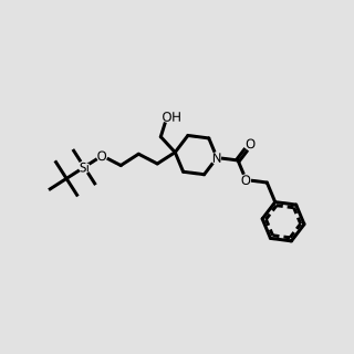 CC(C)(C)[Si](C)(C)OCCCC1(CO)CCN(C(=O)OCc2ccccc2)CC1